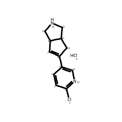 Cl.Clc1ccc(C2=CC3CNCC3C2)cn1